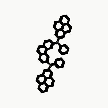 c1ccc(N(c2cc3ccc4cccc5ccc(c2)c3c45)c2ccc3ccc4ccc(N(c5ccccc5)c5cc6ccc7cccc8ccc(c5)c6c78)cc4c3c2)cc1